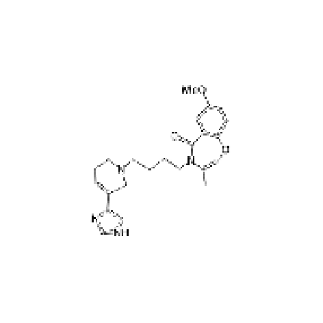 COc1ccc2c(c1)C(=O)N(CCCCN1CCC=C(c3c[nH]cn3)C1)C(C)=CO2